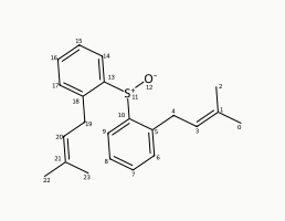 CC(C)=CCc1ccccc1[S+]([O-])c1ccccc1CC=C(C)C